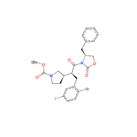 CC(C)(C)OC(=O)N1CC[C@H]([C@H](Cc2cc(I)ccc2Br)C(=O)N2C(=O)OC[C@@H]2Cc2ccccc2)C1